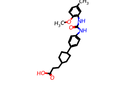 COc1ccc(C)cc1NC(=O)Nc1ccc(C2CCC(CCC(=O)O)CC2)cc1